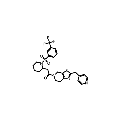 O=C(CC1CCCCN1S(=O)(=O)c1cccc(C(F)(F)F)c1)N1CCc2nc(Cc3ccncc3)sc2C1